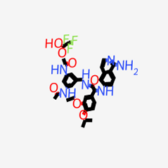 CCOc1cc(C(Nc2ccc3c(N)nccc3c2)C(=O)NCc2cc(NC(C)=O)cc(NC(C)=O)c2)ccc1OC(C)C.O=C(O)C(F)(F)F